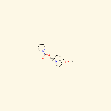 CC(C)OCC12CCCN1[C@@H](COC(=O)N1CCCCC1)CC2